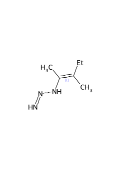 CC/C(C)=C(\C)NN=N